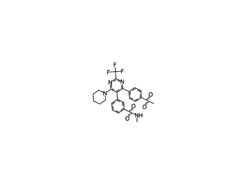 CNS(=O)(=O)c1cccc(-c2c(-c3ccc(S(C)(=O)=O)cc3)nc(C(F)(F)F)nc2N2CCCCC2)c1